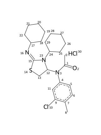 CC(=O)N(c1ccc(C)c(Cl)c1)C1CSC(=NC2CCCCC2)N1C1CCCCC1.Cl